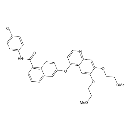 COCCOc1cc2nccc(Oc3ccc4c(C(=O)Nc5ccc(Cl)cc5)cccc4c3)c2cc1OCCOC